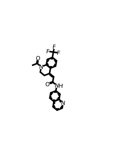 CC(=O)N1CC/C(=C\C(=O)Nc2ccc3cccnc3c2)c2ccc(C(F)(F)F)cc21